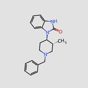 C[C@@H]1CN(Cc2ccccc2)CC[C@H]1n1c(=O)[nH]c2ccccc21